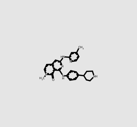 Cc1ccnc(Nc2cc3ccn(C)c(=O)c3c(Nc3ccc(C4CCNCC4)cc3)n2)c1